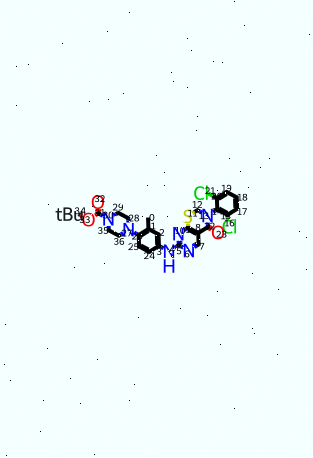 Cc1cc(Nc2ncc3c(n2)SCN(c2c(Cl)cccc2Cl)C3=O)ccc1N1CCN(C(=O)OC(C)(C)C)CC1